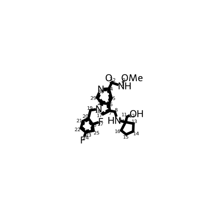 CONC(=O)c1cc2c(CNC3(CO)CCCC3)cn(Cc3ccc(F)cc3F)c2cn1